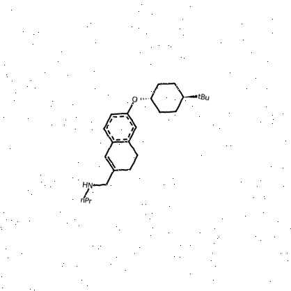 CCCNCC1=Cc2ccc(O[C@H]3CC[C@H](C(C)(C)C)CC3)cc2CC1